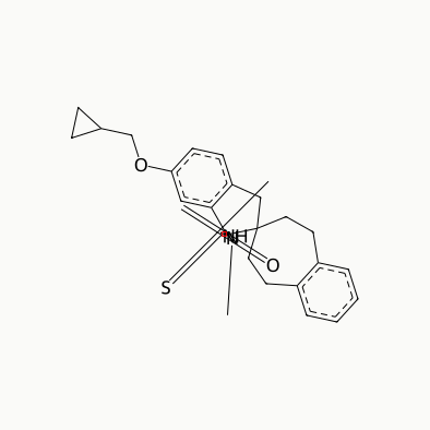 CN1C(=O)C2(NC1=S)c1cc(OCC3CC3)ccc1CC21CCc2ccccc2CC1